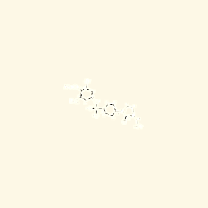 COc1c(Br)cc(OS(=O)(=O)c2ccc(N3CCN(CC(C)C)C3=O)cc2)cc1Br